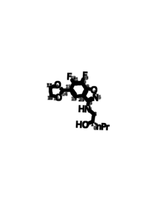 CCC[C@H](O)CNc1noc2c(F)c(F)c(C3OCCO3)cc12